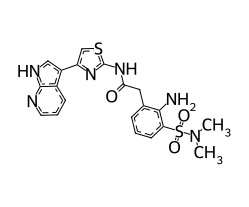 CN(C)S(=O)(=O)c1cccc(CC(=O)Nc2nc(-c3c[nH]c4ncccc34)cs2)c1N